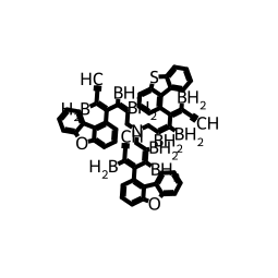 B/C(CN(C/C(B)=C(B)\C(=C(\B)C#C)c1cccc2oc3ccccc3c12)C/C(B)=C(B)\C(=C(\B)C#C)c1cccc2sc3ccccc3c12)=C(B)/C(=C(/B)C#C)c1cccc2oc3ccccc3c12